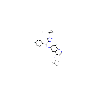 CC1(C)CCCC1Nc1c(C#N)cnc2c(F)cc(NC(c3ccc(F)cc3)c3cn(C4(C(F)(F)F)CC4)nn3)cc12